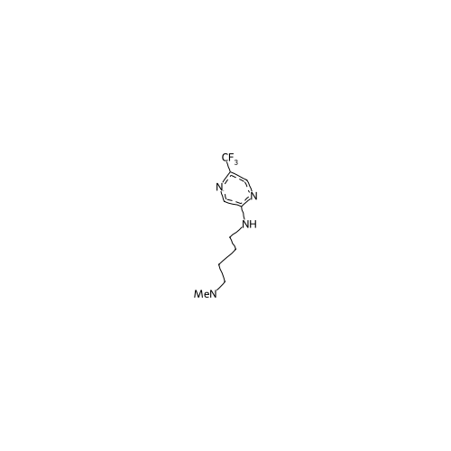 CNCCCCNc1cnc(C(F)(F)F)cn1